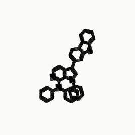 c1ccc(N(c2ccccc2)c2nccc3c(-c4ccc5c(c4)sc4ccccc45)cn(-c4ccccc4)c23)cc1